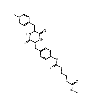 CNC(=O)CCCCC(=O)Nc1ccc(CC2NC(=O)C(Cc3ccc(C)cc3)NC2=O)cc1